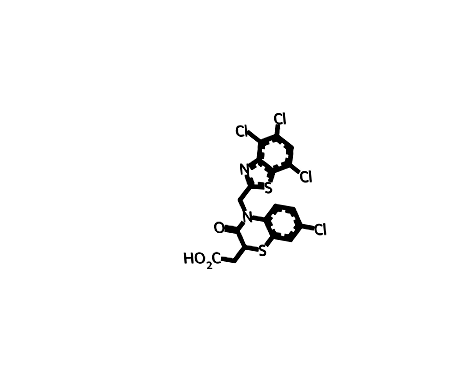 O=C(O)CC1Sc2cc(Cl)ccc2N(Cc2nc3c(Cl)c(Cl)cc(Cl)c3s2)C1=O